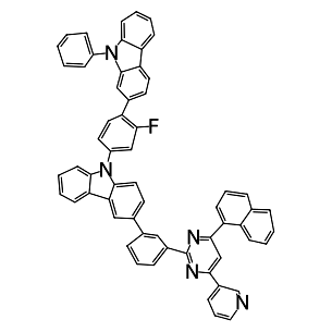 Fc1cc(-n2c3ccccc3c3cc(-c4cccc(-c5nc(-c6cccnc6)cc(-c6cccc7ccccc67)n5)c4)ccc32)ccc1-c1ccc2c3ccccc3n(-c3ccccc3)c2c1